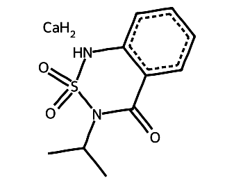 CC(C)N1C(=O)c2ccccc2NS1(=O)=O.[CaH2]